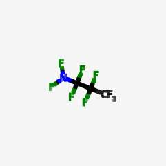 FN(F)C(F)(F)C(F)(F)C(F)(F)F